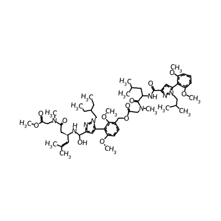 CCC(CC)Cn1nc(C(O)N[C@@H](C=C(C)C)CC(=O)N(C)CC(=O)OC)cc1-c1c(OC)ccc(COC(=O)CN(C)C(=O)C(CC(C)C)NC(=O)c2cc(-c3c(OC)cccc3OC)n(CC(C)C)n2)c1OC